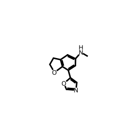 CNc1cc2c(c(-c3cnco3)c1)OCC2